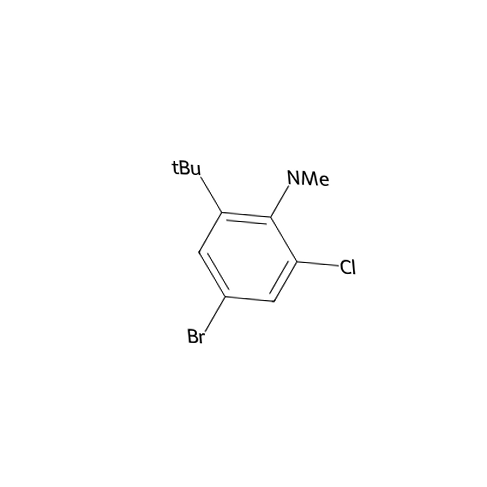 CNc1c(Cl)cc(Br)cc1C(C)(C)C